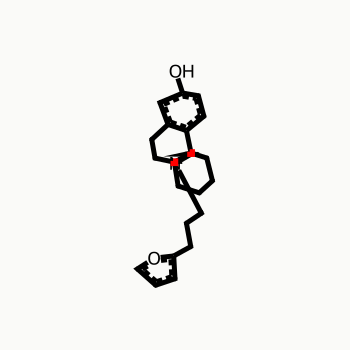 Oc1ccc2c(c1)CCC13CCCCC21CCN(CCCc1ccco1)C3